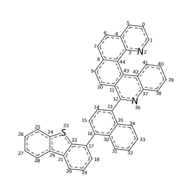 c1cnc2c(c1)ccc1ccc3c(-c4ccc(-c5cccc6c5sc5ccccc56)c5ccccc45)nc4ccccc4c3c12